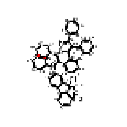 CC1(C)c2ccccc2-c2ccc(N(c3ccccc3)c3c(-c4ccccc4)n4nc(-c5ccccc5)c(-c5ccccc5)c4c4ccccc34)cc21